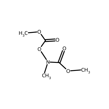 COC(=O)ON(C)C(=O)OC